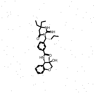 CCC[C@H](c1cccc(C(=O)N[C@@H]2c3ccccc3OC[C@@]2(C)O)c1)N1C(=N)NC(CC)(CC)CC1=O